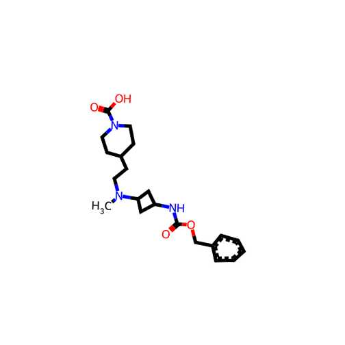 CN(CCC1CCN(C(=O)O)CC1)C1CC(NC(=O)OCc2ccccc2)C1